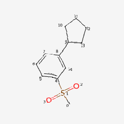 CS(=O)(=O)c1cccc(C2CCCC2)c1